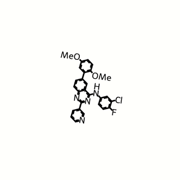 COc1ccc(OC)c(-c2ccc3nc(-c4cccnc4)nc(Nc4ccc(F)c(Cl)c4)c3c2)c1